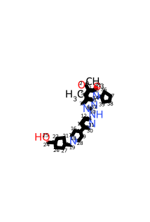 CC(=O)c1c(C)c2cnc(Nc3ccc(C4CCN(CC5CCC(CO)CC5)CC4)cn3)nc2n(C2CCCC2)c1=O